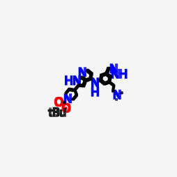 CN(C)CCc1cc(Nc2ccnc3[nH]c(C4=CCN(C(=O)OC(C)(C)C)CC4)cc23)cc2cn[nH]c12